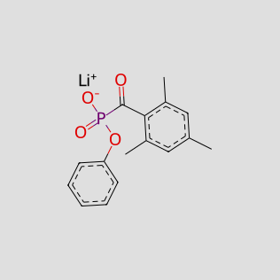 Cc1cc(C)c(C(=O)P(=O)([O-])Oc2ccccc2)c(C)c1.[Li+]